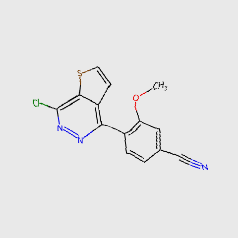 COc1cc(C#N)ccc1-c1nnc(Cl)c2sccc12